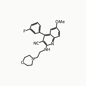 COc1ccc2nc(NCCN3CCOCC3)c(C#N)c(-c3cccc(F)c3)c2c1